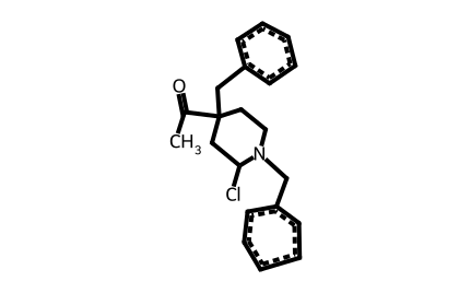 CC(=O)C1(Cc2ccccc2)CCN(Cc2ccccc2)C(Cl)C1